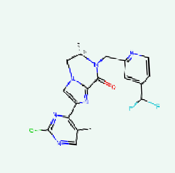 Cc1cnc(Cl)nc1-c1cn2c(n1)C(=O)N(Cc1cc(C(F)F)ccn1)[C@@H](C)C2